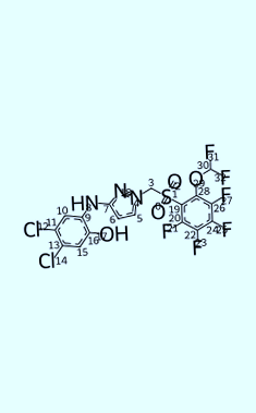 O=S(=O)(Cn1ccc(Nc2cc(Cl)c(Cl)cc2O)n1)c1c(F)c(F)c(F)c(F)c1OC(F)F